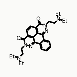 CCN(CC)CCn1nc2c3ccccc3c3nn(CCN(CC)CC)c(=O)c4ccc(c1=O)c2c43